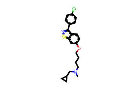 CN(CCCCOc1ccc2c(-c3ccc(Cl)cc3)nsc2c1)CC1CC1